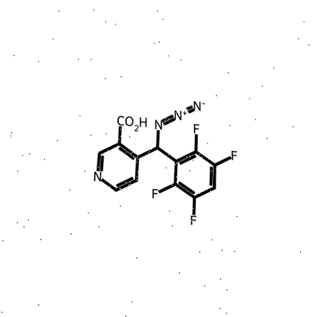 [N-]=[N+]=NC(c1ccncc1C(=O)O)c1c(F)c(F)cc(F)c1F